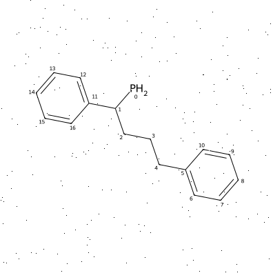 PC(CCCc1ccccc1)c1ccccc1